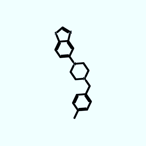 Cc1ccc(CN2CCN(c3ccc4scnc4c3)CC2)cc1